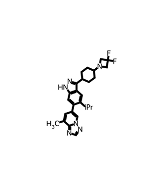 Cc1cc(-c2cc3[nH]nc(C4CCC(N5CC(F)(F)C5)CC4)c3cc2C(C)C)cn2ncnc12